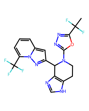 CC(F)(F)c1nnc(N2CCc3[nH]cnc3C2c2cc3cccc(C(F)(F)F)n3n2)o1